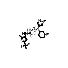 Cc1sc(C(C)(F)F)cc1NC(=O)NS(=O)(=O)N(c1cnn(C)c1)C1CCCN(C)C1